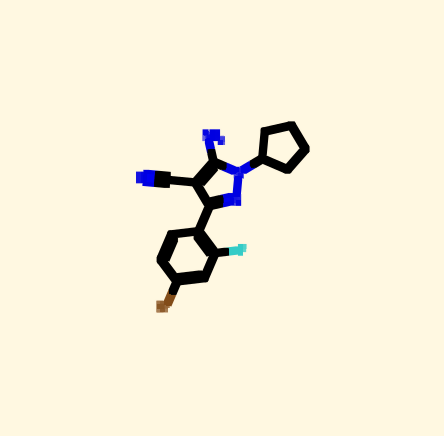 N#Cc1c(-c2ccc(Br)cc2F)nn(C2CCCC2)c1N